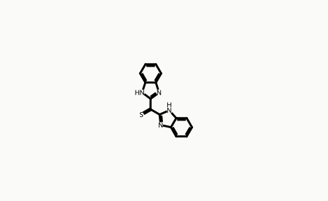 S=C(c1nc2ccccc2[nH]1)c1nc2ccccc2[nH]1